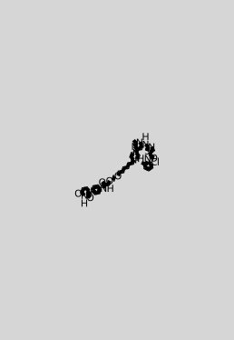 Cc1nc(Nc2ncc(C(=O)Nc3c(C)cccc3Cl)s2)cc(N2CCN(CCCCCCOCCOCC(=O)Nc3ccc(N4CCC(=O)NC4=O)cc3)CC2)n1